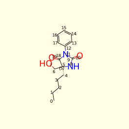 CCCCC[C@@]1(CO)NC(=O)N(c2ccccc2)C1=O